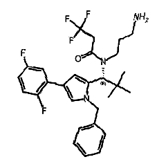 CC(C)(C)[C@H](c1cc(-c2cc(F)ccc2F)cn1Cc1ccccc1)N(CCCN)C(=O)CC(F)(F)F